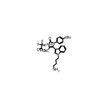 CC(C)(C)c1ccc(-n2c(-c3cn(CCCCN)c4ccccc34)c(C#N)[nH]c2=O)cc1.O=C(O)C(F)(F)F